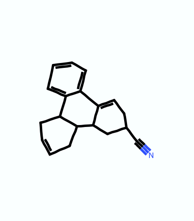 N#CC1CC=C2c3ccccc3C3CC=CCC3C2C1